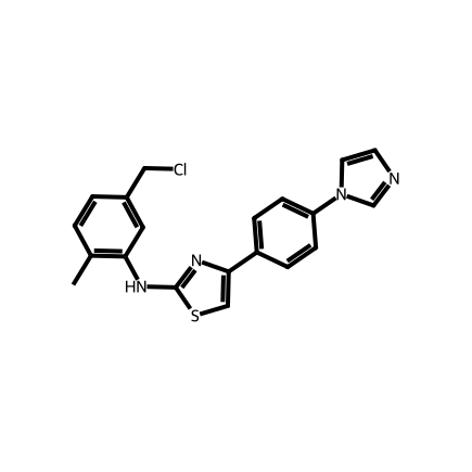 Cc1ccc(CCl)cc1Nc1nc(-c2ccc(-n3ccnc3)cc2)cs1